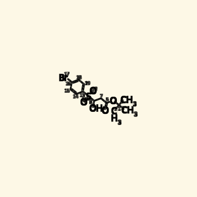 CC(C)(C)OC(=O)CC(O)S(=O)(=O)c1ccc(Br)cc1